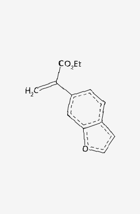 C=C(C(=O)OCC)c1ccc2ccoc2c1